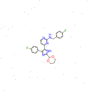 Fc1ccc(CNc2nccc(-c3[nH]c(C4OCCCO4)nc3-c3ccc(F)cc3)n2)cc1